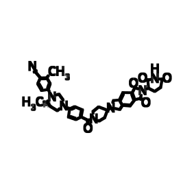 Cc1cc(N2CCN(c3ccc(C(=O)N4CCC(N5Cc6cc7c(cc6C5)C(=O)N(C5CCC(=O)NC5=O)C7=O)CC4)cc3)CC[C@@H]2C)ccc1C#N